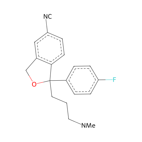 [C-]#[N+]c1ccc2c(c1)COC2(CCCNC)c1ccc(F)cc1